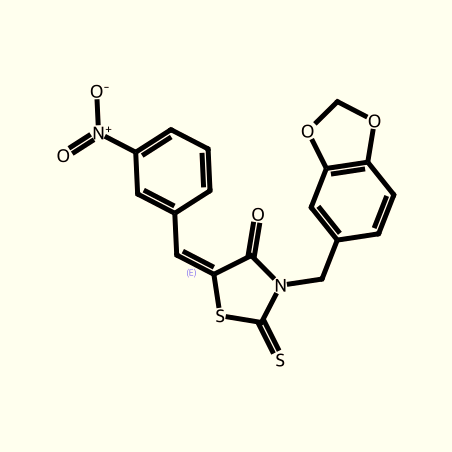 O=C1/C(=C\c2cccc([N+](=O)[O-])c2)SC(=S)N1Cc1ccc2c(c1)OCO2